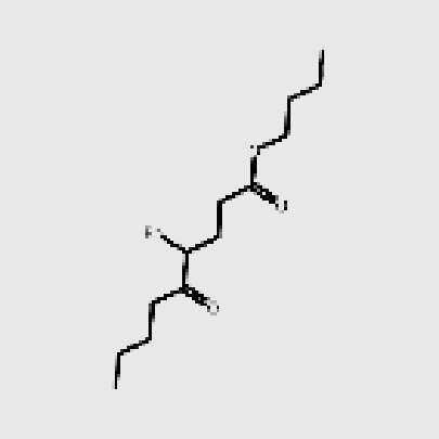 CCCCOC(=O)CCC(Br)C(=O)CCCC